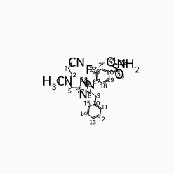 CN(CCC#N)Cc1nc(Cc2ccccc2)n(-c2ccc(S(N)(=O)=O)cc2F)n1